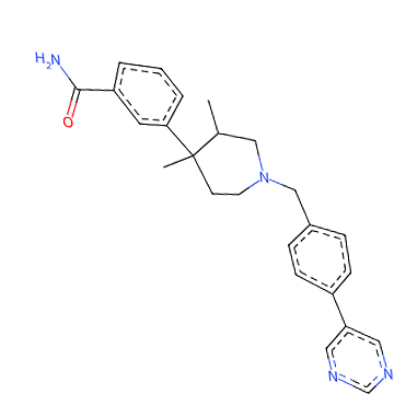 CC1CN(Cc2ccc(-c3cncnc3)cc2)CCC1(C)c1cccc(C(N)=O)c1